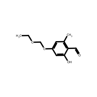 CCOCOc1cc(C)c(C=O)c(O)c1